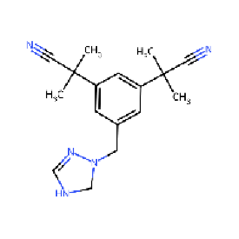 CC(C)(C#N)c1cc(CN2CNC=N2)cc(C(C)(C)C#N)c1